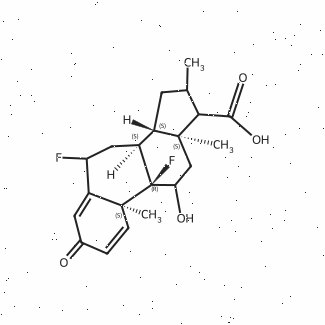 CC1C[C@H]2[C@@H]3CC(F)C4=CC(=O)C=C[C@]4(C)[C@@]3(F)C(O)C[C@]2(C)C1C(=O)O